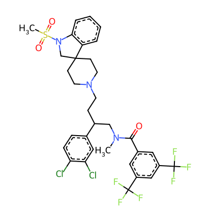 CN(CC(CCN1CCC2(CC1)CN(S(C)(=O)=O)c1ccccc12)c1ccc(Cl)c(Cl)c1)C(=O)c1cc(C(F)(F)F)cc(C(F)(F)F)c1